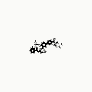 CCCOc1ccc(-c2ccc(C(=O)N(CC)CC)cc2)cc1C(=O)NC(CO)Cc1c[nH]c2ccccc12